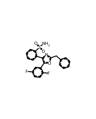 NS(=O)(=O)c1ccccc1-c1nc(Cc2ccccc2)oc1-c1cc(F)ccc1F